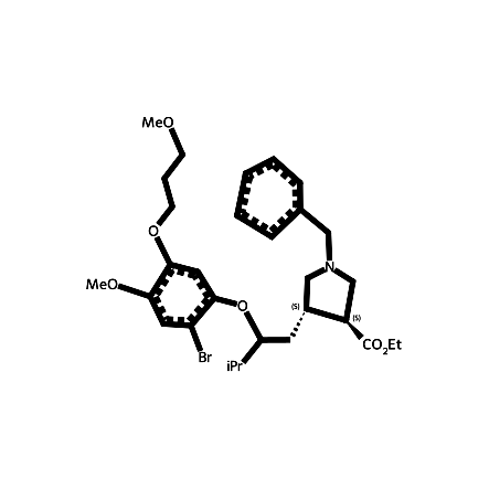 CCOC(=O)[C@@H]1CN(Cc2ccccc2)C[C@H]1CC(Oc1cc(OCCCOC)c(OC)cc1Br)C(C)C